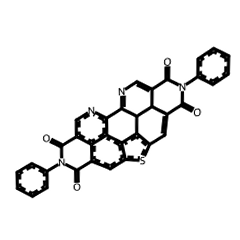 O=C1C2=CN=C3c4ncc5c6c(cc7sc8c(c7c46)C3C2C(=C8)C(=O)N1c1ccccc1)C(=O)N(c1ccccc1)C5=O